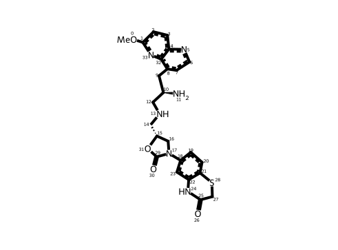 COc1ccc2nccc(C[C@@H](N)CNC[C@@H]3CN(c4ccc5c(c4)NC(=O)CS5)C(=O)O3)c2n1